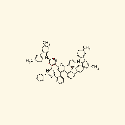 Cc1ccc2c(c1)c1cc(C)ccc1n2-c1ccc(-c2cc(-c3ccccc3-c3nc(-c4ccccc4)nc(-c4ccccc4)n3)c(-c3cccc4c3sc3ccccc34)c(-c3ccc(-n4c5ccc(C)cc5c5cc(C)ccc54)cc3)n2)cc1